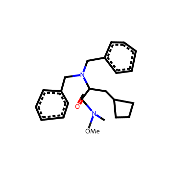 CON(C)C(=O)C(CC1CCC1)N(Cc1ccccc1)Cc1ccccc1